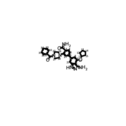 NC(=O)c1ccc(-c2cc(OC3CCCC3)c3c(N)n[nH]c3c2)cc1N1CCN(C(=O)c2ccccc2)CC1